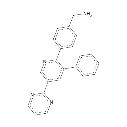 NCc1ccc(-c2ncc(-c3ncccn3)cc2-c2ccccc2)cc1